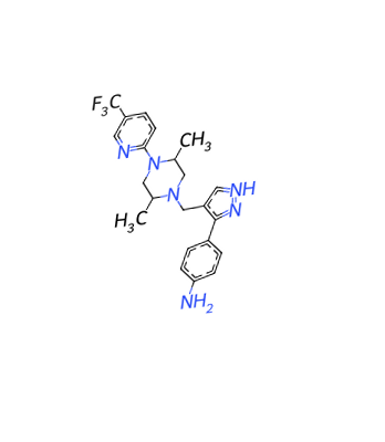 CC1CN(c2ccc(C(F)(F)F)cn2)C(C)CN1Cc1c[nH]nc1-c1ccc(N)cc1